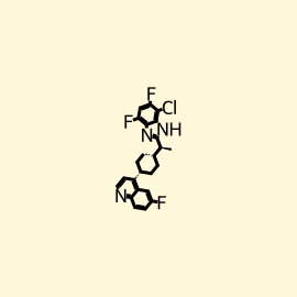 C[C@H](c1nc2c(F)cc(F)c(Cl)c2[nH]1)[C@H]1CC[C@@H](c2ccnc3ccc(F)cc32)CC1